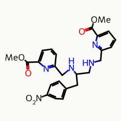 COC(=O)c1cccc(CNCC(Cc2ccc([N+](=O)[O-])cc2)NCc2cccc(C(=O)OC)n2)n1